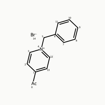 CC(=O)c1cc[n+](Cc2ccccc2)cc1.[Br-]